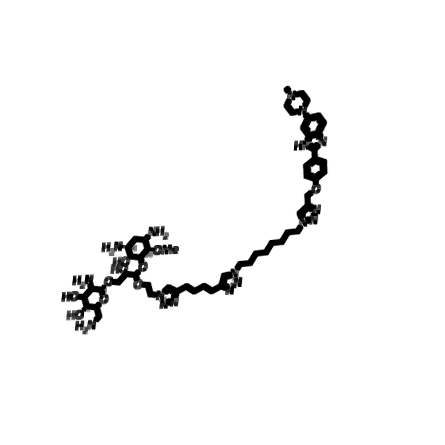 CO[C@@H]1C(N)C[C@@H](N)C(O)C1OC(OCCn1cc(CCCCc2cn(CCCCCCCCn3cc(COc4ccc(-c5nc6ccc(N7CCN(C)CC7)cc6[nH]5)cc4)nn3)nn2)nn1)C(O)CO[C@H]1OC(CN)[C@@H](O)C(O)C1N